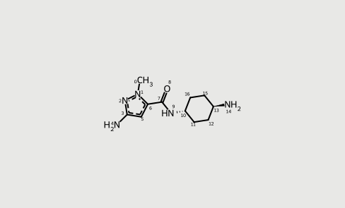 Cn1nc(N)cc1C(=O)N[C@H]1CC[C@H](N)CC1